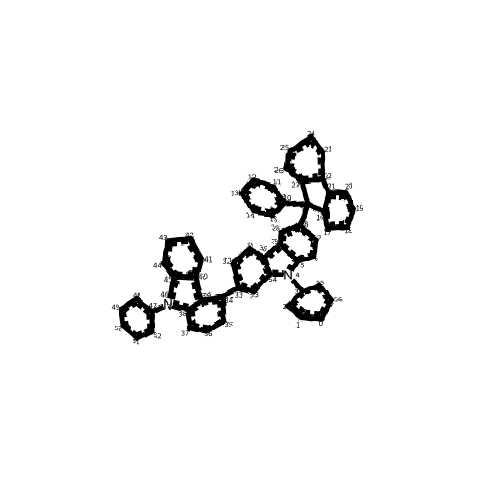 c1ccc(-n2c3ccc(C4(c5ccccc5)c5ccccc5-c5ccccc54)cc3c3ccc(-c4cccc5c4c4ccccc4n5-c4ccccc4)cc32)cc1